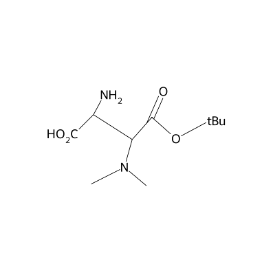 CN(C)C(C(=O)OC(C)(C)C)C(N)C(=O)O